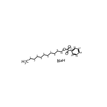 CCCCCCCCCCCOS(=O)(=O)c1ccccc1.[NaH]